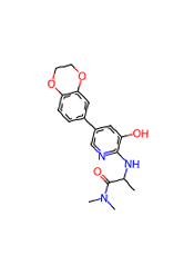 CC(Nc1ncc(-c2ccc3c(c2)OCCO3)cc1O)C(=O)N(C)C